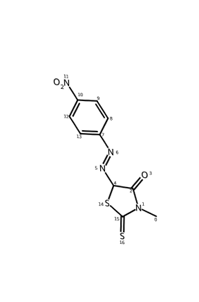 CN1C(=O)C(N=Nc2ccc([N+](=O)[O-])cc2)SC1=S